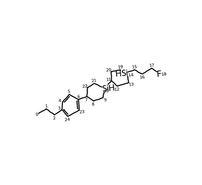 CCCc1ccc(C2CC[SiH](C3CC[SiH](CCCF)CC3)CC2)cc1